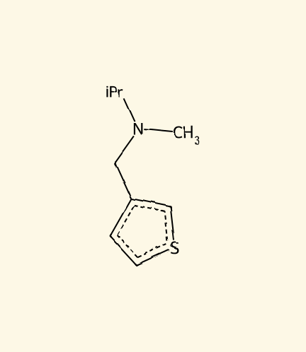 CC(C)N(C)Cc1ccsc1